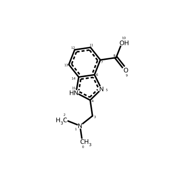 CN(C)Cc1nc2c(C(=O)O)cccc2[nH]1